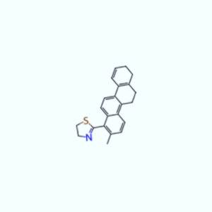 Cc1ccc2c3c(ccc2c1C1=NCCS1)C1=C(CCC=C1)CC3